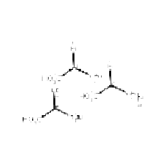 CCCCC(CC)C(=O)O.CCCCC(CC)C(=O)O.CCCCC(CC)C(=O)O.[P]